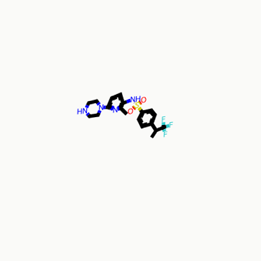 Cc1nc(N2CCNCC2)ccc1NS(=O)(=O)c1ccc(C(C)C(F)(F)F)cc1